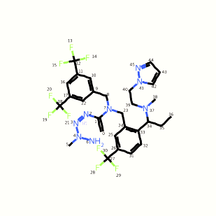 C=C(/N=N\N(C)N)N(Cc1cc(C(F)(F)F)cc(C(F)(F)F)c1)Cc1cc(C(F)(F)F)ccc1C(CC)N(C)CCn1cccn1